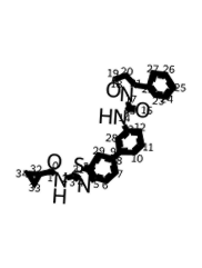 O=C(Nc1nc2ccc(-c3cccc(NC(=O)N4OCCC4c4ccccc4)c3)cc2s1)C1CC1